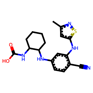 Cc1cc(Nc2cc(NC3CCCCC3NC(=O)O)ccc2C#N)sn1